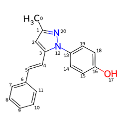 Cc1cc(/C=C/c2ccccc2)n(-c2ccc(O)cc2)n1